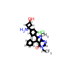 Cl.Cn1c(-c2ccc(C3(N)CC(O)C3)cc2)c(-c2ccccc2)c2c(=O)n(CC(F)(F)F)cnc21